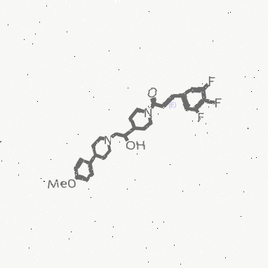 COc1ccc(C2CCN(CC(O)C3CCN(C(=O)/C=C/c4cc(F)c(F)c(F)c4)CC3)CC2)cc1